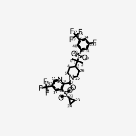 CC(C)(C1CCN(C(=O)c2ncc(C(F)(F)F)cc2S(=O)(=O)C2CC2)CC1)S(=O)(=O)c1cc(F)cc(C(F)(F)F)c1